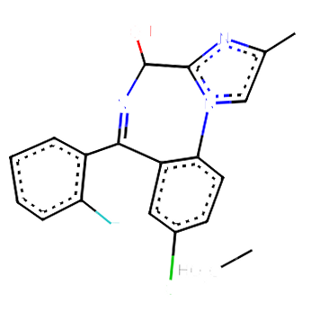 CC(=O)O.Cc1cn2c(n1)C(O)N=C(c1ccccc1F)c1cc(Cl)ccc1-2